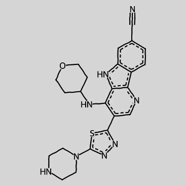 N#Cc1ccc2c(c1)[nH]c1c(NC3CCOCC3)c(-c3nnc(N4CCNCC4)s3)cnc12